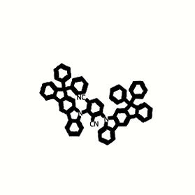 N#Cc1ccc(-n2c3ccccc3c3cc4c(cc32)C(c2ccccc2)(c2ccccc2)c2ccccc2-4)c(C#N)c1-n1c2ccccc2c2cc3c(cc21)C(c1ccccc1)(c1ccccc1)c1ccccc1-3